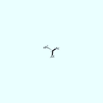 CCC[C@@H](CC)C(C)=O